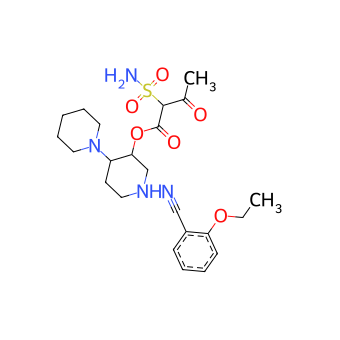 CC(=O)C(C(=O)OC1CNCCC1N1CCCCC1)S(N)(=O)=O.CCOc1ccccc1C#N